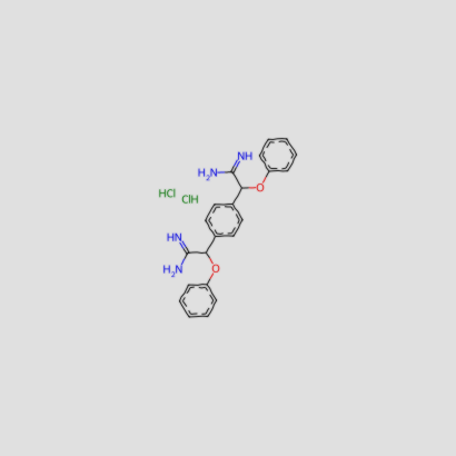 Cl.Cl.N=C(N)C(Oc1ccccc1)c1ccc(C(Oc2ccccc2)C(=N)N)cc1